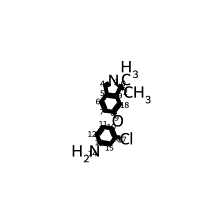 CC1(C)N=Cc2ccc(Oc3ccc(N)cc3Cl)cc21